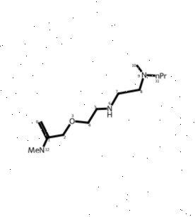 C=C(COCCNCCN(C)CCC)NC